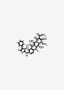 Cc1sc(Nc2ccc3c(c2O)C(=O)C2=C(O)C4C(=O)C(C(N)=O)=C(O)[C@@H](N)C4[C@@H](O)C2[C@H]3C)nc1-c1ccccc1